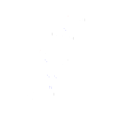 CC1CN(C(C)(C)c2cc3c(c(C(F)(F)F)c2)CN(c2cccc(C4(c5nncn5C)CC5(CC5)C4)c2)C3=O)CCO1